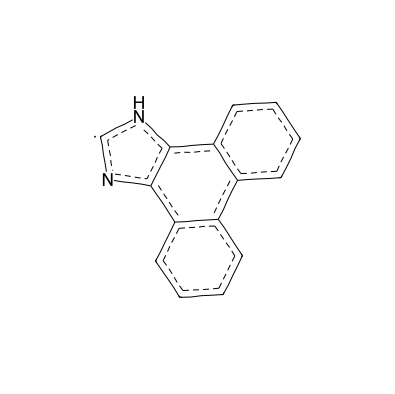 [c]1nc2c3ccccc3c3ccccc3c2[nH]1